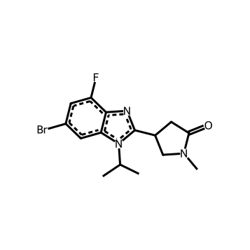 CC(C)n1c(C2CC(=O)N(C)C2)nc2c(F)cc(Br)cc21